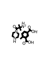 CC(C)(N)C(=O)N1CCNCC1.Cc1ccc(C(=O)O)cc1C(=O)O